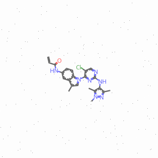 C=CC(=O)Nc1ccc2c(c1)c(C)cn2-c1nc(Nc2c(C)nn(C)c2C)ncc1Cl